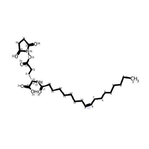 CCCCCCCC/C=C\CCCCCCCC(=O)N[C@@H](CCC(=O)ON1C(=O)CCC1=O)C(=O)O